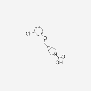 O=C(O)N1CC2C(COc3cccc(Cl)c3)C2C1